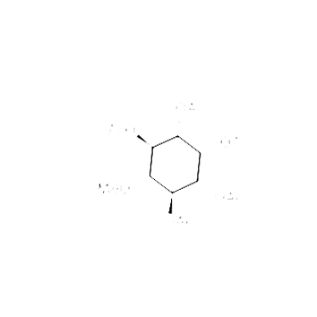 CO[C@@H]1[C@@H](OC(C)=O)[C@H](OC(C)=O)[C@H](OC(C)=O)[C@H](OC(C)=O)[C@H]1OC(C)=O